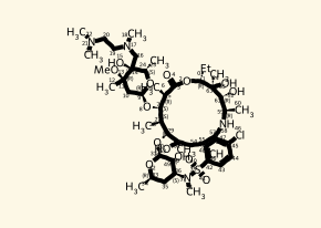 CC[C@H]1OC(=O)[C@H](C)[C@@H](O[C@H]2C[C@@](C)(OC)[C@](O)(CN(C)CCN(C)C)[C@H](C)O2)[C@H](C)[C@@H](O[C@@H]2O[C@H](C)C[C@H](N(C)S(=O)(=O)c3ccc(Cl)cc3)[C@H]2O)[C@](C)(O)C[C@@H](C)CN[C@H](C)[C@@H](O)[C@]1(C)O